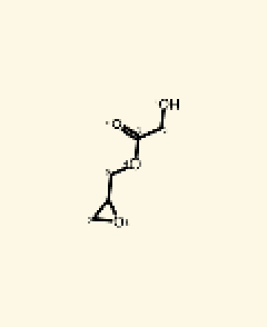 O=C(CO)OCC1CO1